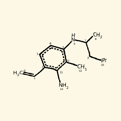 C=Cc1ccc(NC(C)CC(C)C)c(C)c1N